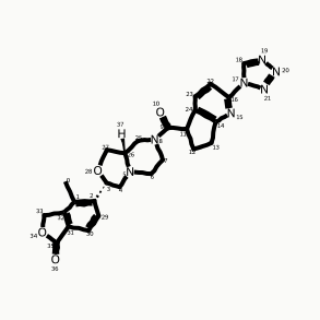 Cc1c([C@H]2CN3CCN(C(=O)C4CCc5nc(-n6cnnn6)ccc54)C[C@H]3CO2)ccc2c1COC2=O